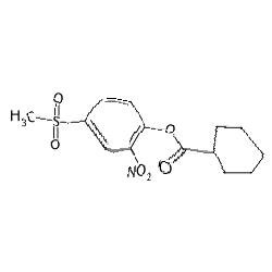 CS(=O)(=O)c1ccc(OC(=O)C2CCCCC2)c([N+](=O)[O-])c1